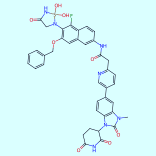 Cn1c(=O)n(C2CCC(=O)NC2=O)c2ccc(-c3ccc(CC(=O)Nc4ccc5c(F)c(N6CC(=O)NS6(O)O)c(OCc6ccccc6)cc5c4)nc3)cc21